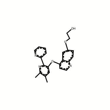 Cc1cc(Oc2ccnc3ccc(OCCO)cc23)c(-c2ccccn2)nc1C